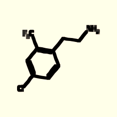 NCCc1ccc(Cl)cc1C(F)(F)F